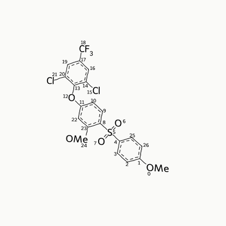 COc1ccc(S(=O)(=O)c2ccc(Oc3c(Cl)cc(C(F)(F)F)cc3Cl)cc2OC)cc1